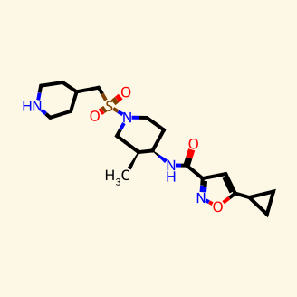 C[C@H]1CN(S(=O)(=O)CC2CCNCC2)CC[C@H]1NC(=O)c1cc(C2CC2)on1